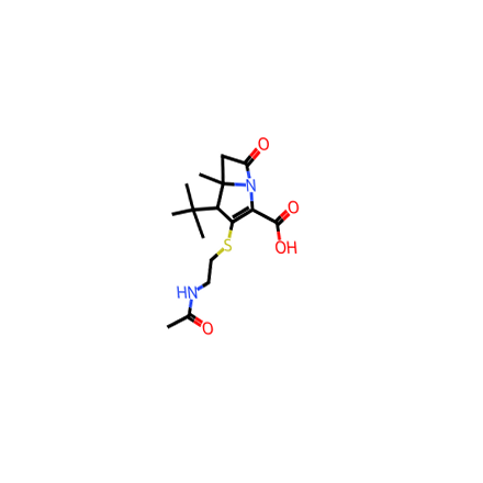 CC(=O)NCCSC1=C(C(=O)O)N2C(=O)CC2(C)C1C(C)(C)C